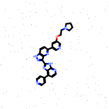 c1cc(-c2ccnc3[nH]c(-c4n[nH]c5ccc(-c6cncc(OCCN7CCCC7)c6)nc45)nc23)ccn1